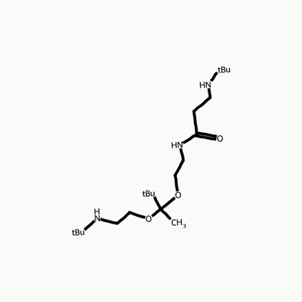 CC(C)(C)NCCOC(C)(OCCNC(=O)CCNC(C)(C)C)C(C)(C)C